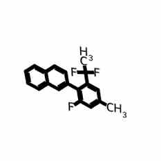 Cc1cc(F)c(-c2ccc3ccccc3c2)c(C(C)(F)F)c1